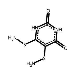 NSc1[nH]c(=O)[nH]c(=O)c1SN